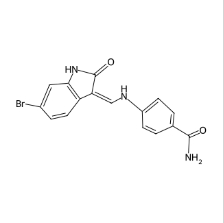 NC(=O)c1ccc(NC=C2C(=O)Nc3cc(Br)ccc32)cc1